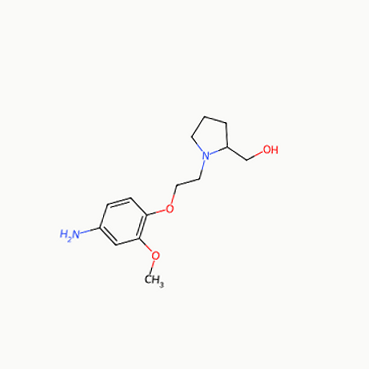 COc1cc(N)ccc1OCCN1CCCC1CO